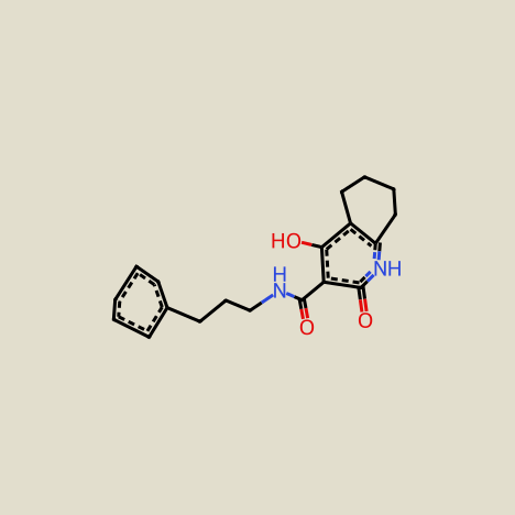 O=C(NCCCc1ccccc1)c1c(O)c2c([nH]c1=O)CCCC2